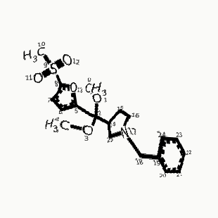 COC(OC)(c1ccc(S(C)(=O)=O)o1)C1CCN(Cc2ccccc2)C1